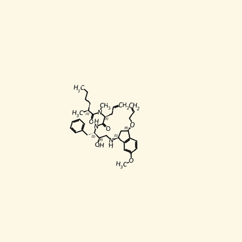 C=CCO[C@@H]1C[C@H](NC[C@@H](O)[C@H](Cc2ccccc2)NC(=O)[C@H](CC=C)N(C)C(=O)[C@@H](C)CCCC)c2cc(OC)ccc21